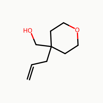 C=CCC1(CO)CCOCC1